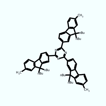 CCCCC1(CCCC)c2cc(C)ccc2-c2ccc(-c3nc(-c4ccc5c(c4)C(CCCC)(CCCC)c4cc(C)ccc4-5)nc(-c4ccc5c(c4)C(CCCC)(CCCC)c4cc(C)ccc4-5)n3)cc21